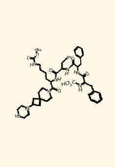 CC(C)CC(NC(=O)C(Cc1ccccc1)NC(=O)C(Cc1ccccc1)NC(=O)O)C(=O)NC(CCCCNC(=O)OC(C)(C)C)C(=O)N1CCC2(CC1)CC(N1CCNCC1)C2